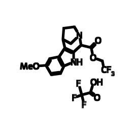 COc1ccc2[nH]c3c(c2c1)C1CCN(C1)C3C(=O)OCC(F)(F)F.O=C(O)C(F)(F)F